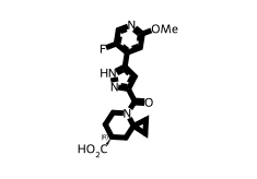 COc1cc(-c2cc(C(=O)N3CC[C@@H](C(=O)O)CC34CC4)n[nH]2)c(F)cn1